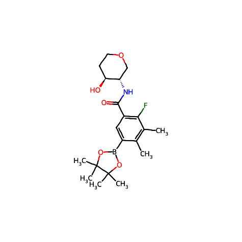 Cc1c(B2OC(C)(C)C(C)(C)O2)cc(C(=O)N[C@H]2COCC[C@@H]2O)c(F)c1C